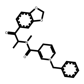 CC(C(=O)c1ccc2c(c1)OCO2)N(C)C(=O)C1=CN(Cc2ccccc2)C=CC1